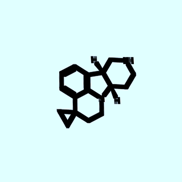 c1cc2c3c(c1)C1(CCN3[C@H]3CCNC[C@@H]23)CC1